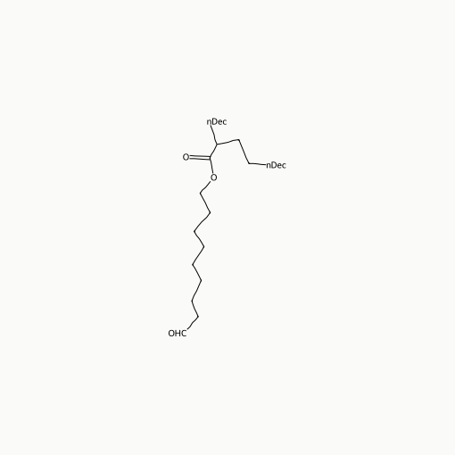 CCCCCCCCCCCCC(CCCCCCCCCC)C(=O)OCCCCCCCCC=O